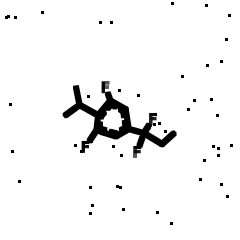 CCC(F)(F)c1cc(F)c(C(C)C)c(F)c1